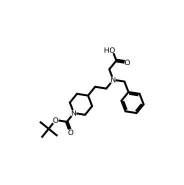 CC(C)(C)OC(=O)N1CCC(CCN(CC(=O)O)Cc2ccccc2)CC1